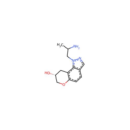 CC(N)Cn1ncc2ccc3c(c21)C[C@@H](O)CO3